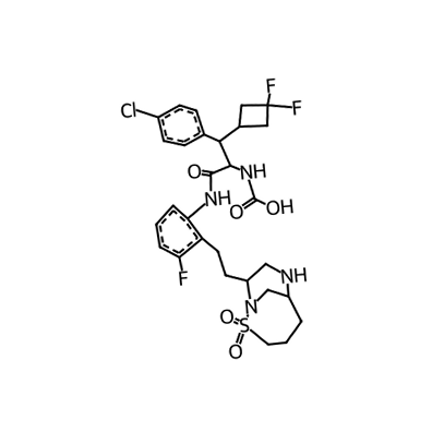 O=C(O)NC(C(=O)Nc1cccc(F)c1CCC1CNC2CCCS(=O)(=O)N1C2)C(c1ccc(Cl)cc1)C1CC(F)(F)C1